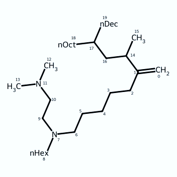 C=C(CCCCCN(CCCCCC)CCN(C)C)C(C)CC(CCCCCCCC)CCCCCCCCCC